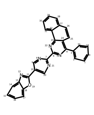 c1ccc(-c2nc(-c3ncc(-c4nc5ccccc5o4)cn3)nc3c2ccc2ccccc23)cc1